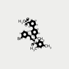 Cc1cc(C)c([S+]([O-])N(CCc2cccc(Br)c2)Cc2ccc(-c3cccc(S(C)(=O)=O)c3)cc2)c(C)c1